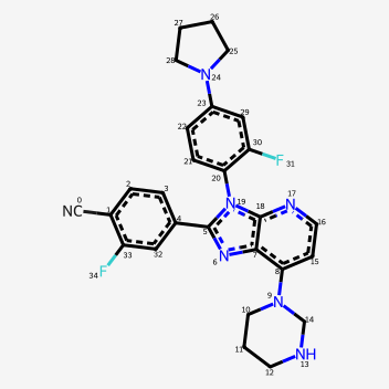 N#Cc1ccc(-c2nc3c(N4CCCNC4)ccnc3n2-c2ccc(N3CCCC3)cc2F)cc1F